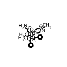 CCS(=O)(=O)N1CCN(OC(=O)N(C[C@H](F)CN)[C@@H](c2nc(-c3ccccc3)cn2Cc2ccccc2)C(C)(C)C)CC1